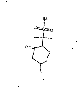 CCS(=O)(=O)C(C)(C)C1CCC(C)CC1=O